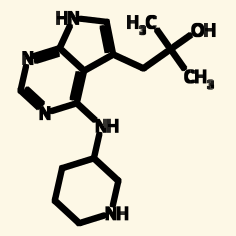 CC(C)(O)Cc1c[nH]c2ncnc(NC3CCCNC3)c12